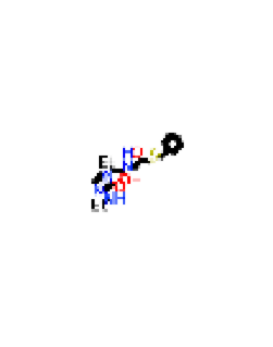 CCNc1nccn(C(CC)C(O)NCC(=O)CSCc2ccccc2)c1=O